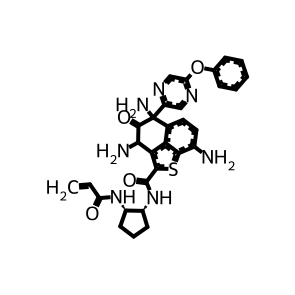 C=CC(=O)N[C@H]1CCC[C@H]1NC(=O)c1sc2c(N)ccc3c2c1C(N)C(=O)C3(N)c1cnc(Oc2ccccc2)cn1